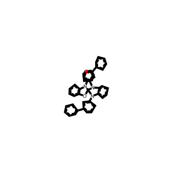 c1ccc(-c2cccc(N3c4ccccc4N(c4cccc(-c5ccccc5)c4)C34Oc3ccccc3N4c3ccccc3)c2)cc1